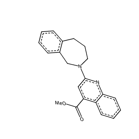 COC(=O)c1cc(N2CCCc3ccccc3C2)nc2ccccc12